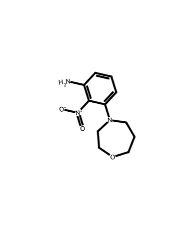 Nc1cccc(N2CCCOCC2)c1[N+](=O)[O-]